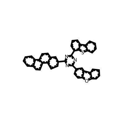 c1ccc2c(c1)ccc1c3ccc(-c4nc(-c5ccc6oc7ccccc7c6c5)nc(-c5cccc6c5sc5ccccc56)n4)cc3ccc21